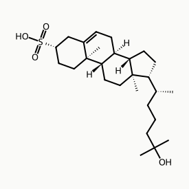 C[C@H](CCCC(C)(C)O)[C@H]1CC[C@H]2[C@@H]3CC=C4C[C@@H](S(=O)(=O)O)CC[C@]4(C)[C@H]3CC[C@]12C